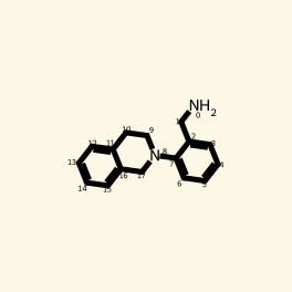 NCc1ccccc1N1CCc2ccccc2C1